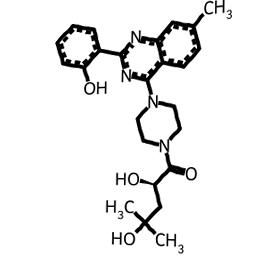 Cc1ccc2c(N3CCN(C(=O)[C@H](O)CC(C)(C)O)CC3)nc(-c3ccccc3O)nc2c1